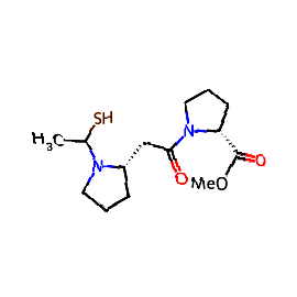 COC(=O)[C@H]1CCCN1C(=O)C[C@@H]1CCCN1C(C)S